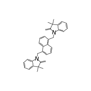 C=C1N(Cc2cccc3c(CN4C(=C)C(C)(C)c5ccccc54)cccc23)c2ccccc2C1(C)C